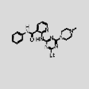 CCc1nc(Nc2ncccc2C(=O)Nc2ccccc2)nc(N2CCN(C)CC2)n1